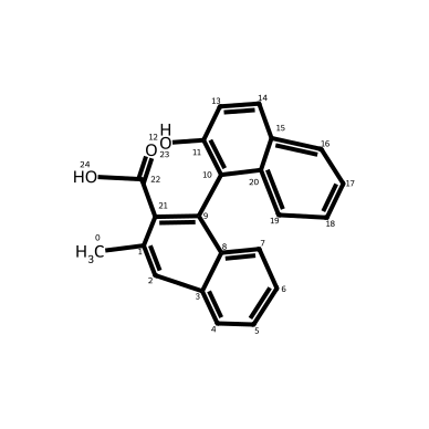 Cc1cc2ccccc2c(-c2c(O)ccc3ccccc23)c1C(=O)O